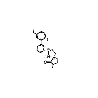 CCc1ccc(F)c(-c2cccc([C@H]3CC[C@@]4(CCN(C)C4=O)N3)c2)c1